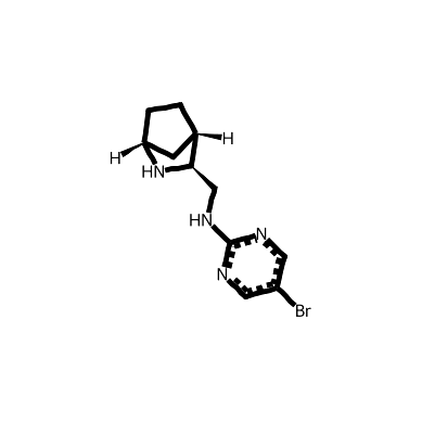 Brc1cnc(NC[C@H]2N[C@@H]3CC[C@H]2C3)nc1